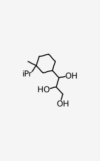 CC(C)C1(C)CCCC(C(O)C(O)CO)C1